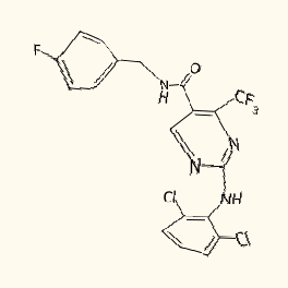 O=C(NCc1ccc(F)cc1)c1cnc(Nc2c(Cl)cccc2Cl)nc1C(F)(F)F